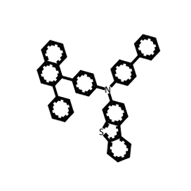 c1ccc(-c2ccc(N(c3ccc(-c4c(-c5ccccc5)ccc5ccccc45)cc3)c3ccc4c(c3)sc3ccccc34)cc2)cc1